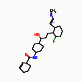 C=N/C=C/C1CCCC(F)C1CCC(O)C1CCC(NC(=O)C2C=CCCC2)CC1